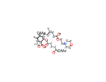 COC(=O)CCCC(=O)Oc1c(C/C=C(\C)CCC(=O)OCCN2CCOCC2)c(OC)c(C)c2c1C(=O)OC2